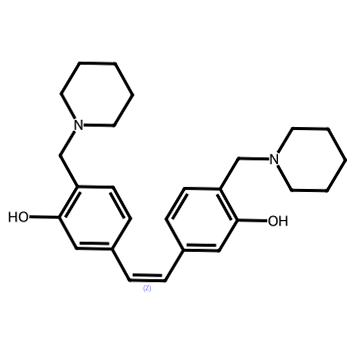 Oc1cc(/C=C\c2ccc(CN3CCCCC3)c(O)c2)ccc1CN1CCCCC1